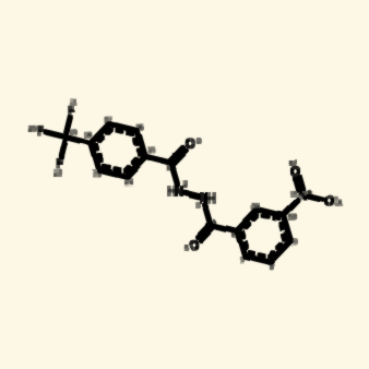 O=C(NNC(=O)c1cccc([N+](=O)[O-])c1)c1ccc(C(F)(F)F)cc1